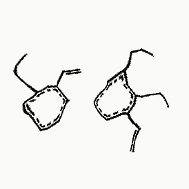 C=Cc1cccc(CC)c1CC.C=Cc1ccccc1CC